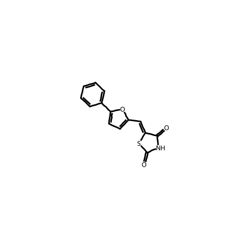 O=C1NC(=O)/C(=C/c2ccc(-c3ccccc3)o2)S1